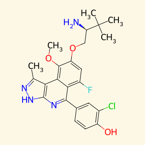 COc1c(OC[C@@H](N)C(C)(C)C)cc(F)c2c(-c3ccc(O)c(Cl)c3)nc3[nH]nc(C)c3c12